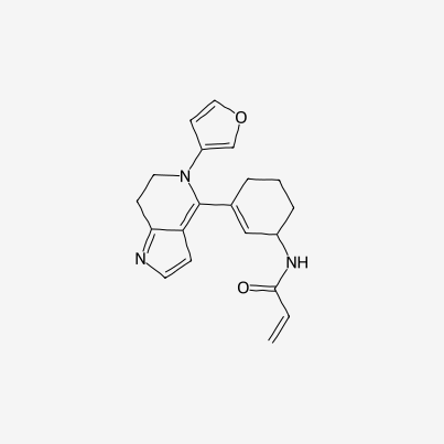 C=CC(=O)NC1C=C(C2=C3C=CN=C3CCN2c2ccoc2)CCC1